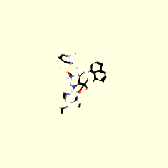 C=C(F)C(=O)N1CCN(c2nc(=O)n(C[C@@H]3CCCN3C)c3c2C2(COC2)CN(c2cccc4cccc(C)c24)C3)C[C@@H]1CC#N